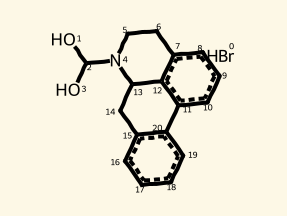 Br.OC(O)N1CCc2cccc3c2C1Cc1ccccc1-3